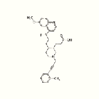 COc1ccc2nccc([C@@H](F)CCC3CCN(CC#Cc4ccccc4C)CC3CCC(=O)O)c2c1